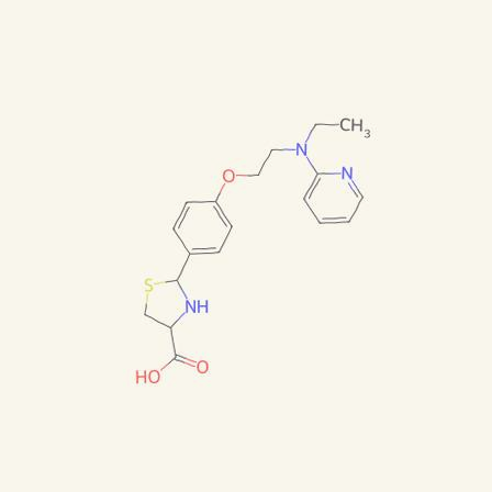 CCN(CCOc1ccc(C2NC(C(=O)O)CS2)cc1)c1ccccn1